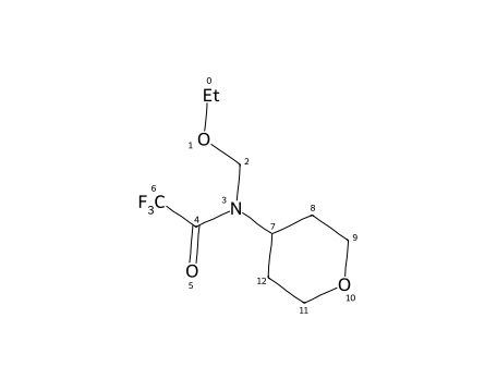 CCOCN(C(=O)C(F)(F)F)C1CCOCC1